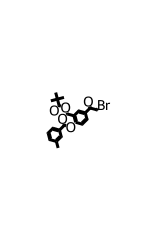 Cc1cccc(C(=O)Oc2ccc(C(=O)CBr)cc2COC(=O)C(C)(C)C)c1